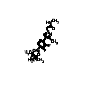 CNC(=O)Cn1cc(-c2ccc(B3OC(C)(C)C(C)(C)O3)c(F)c2F)c(C)n1